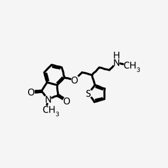 CNCCC(COc1cccc2c1C(=O)N(C)C2=O)c1cccs1